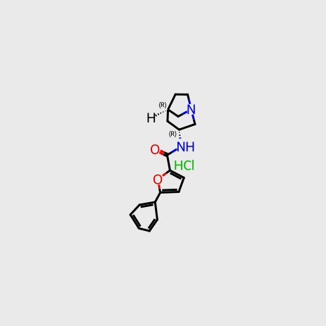 Cl.O=C(N[C@@H]1C[C@H]2CCN(C2)C1)c1ccc(-c2ccccc2)o1